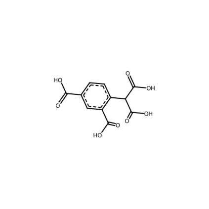 O=C(O)c1ccc(C(C(=O)O)C(=O)O)c(C(=O)O)c1